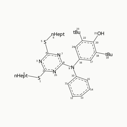 CCCCCCCSc1nc(SCCCCCCC)nc(N(c2ccccc2)c2cc(C(C)(C)C)c(O)c(C(C)(C)C)c2)n1